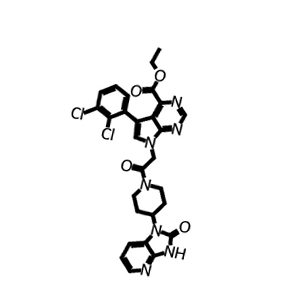 CCOC(=O)c1ncnc2c1c(-c1cccc(Cl)c1Cl)cn2CC(=O)N1CCC(n2c(=O)[nH]c3ncccc32)CC1